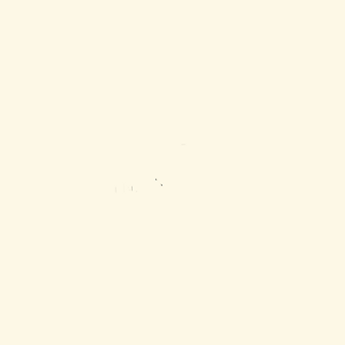 CCCC[N+]1=CC(CC)CC1.[F-]